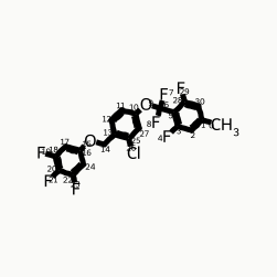 Cc1cc(F)c(C(F)(F)Oc2ccc(COc3cc(F)c(F)c(F)c3)c(Cl)c2)c(F)c1